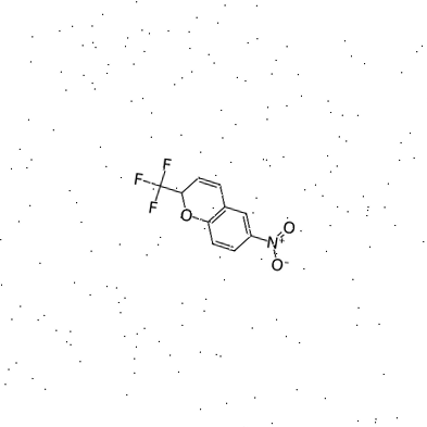 O=[N+]([O-])c1ccc2c(c1)C=CC(C(F)(F)F)O2